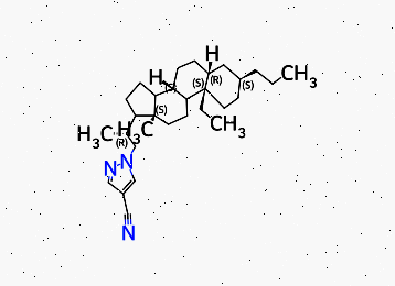 CCC[C@H]1CC[C@]2(CC)C3CC[C@@]4(C)C(CCC4[C@@H](C)Cn4cc(C#N)cn4)[C@@H]3CC[C@@H]2C1